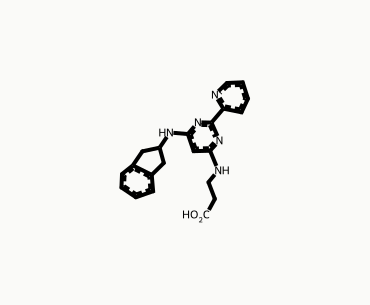 O=C(O)CCNc1cc(NC2Cc3ccccc3C2)nc(-c2ccccn2)n1